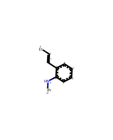 CC/C=C/c1ccccc1NC(C)C